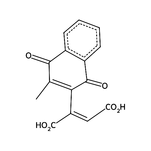 CC1=C(/C(=C\C(=O)O)C(=O)O)C(=O)c2ccccc2C1=O